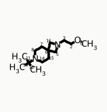 COCCN1CC2(CCN(C(C)(C)C)CC2)C1